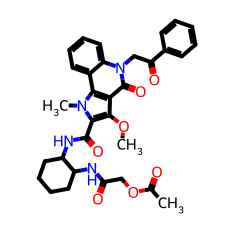 COc1c(C(=O)NC2CCCCC2NC(=O)COC(C)=O)n(C)c2c1c(=O)n(CC(=O)c1ccccc1)c1ccccc21